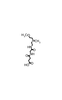 COCCN(C)CCNC(=O)CNC(=O)CCC(=O)O